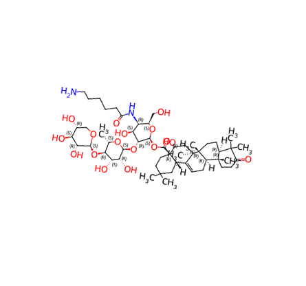 C[C@@H]1O[C@@H](O[C@H]2[C@H](OC(=O)[C@]34CCC(C)(C)C[C@H]3C3=CC[C@@H]5[C@@]6(C)CCC(=O)C(C)(C)[C@@H]6CC[C@@]5(C)[C@]3(C)C[C@H]4O)O[C@H](CO)[C@H](NC(=O)CCCCCN)[C@@H]2O)[C@H](O)[C@H](O)[C@H]1O[C@@H]1OC[C@@H](O)[C@H](O)[C@H]1O